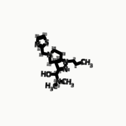 CCCn1nc(C(O)N(C)C)c2c1CCN(Cc1nccs1)C2